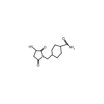 NC(=O)C1CCC(CN2C(=O)CC(S)C2=O)CC1